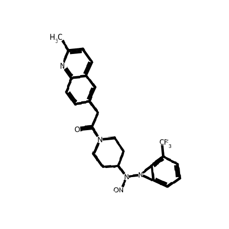 Cc1ccc2cc(CC(=O)N3CCC(N(N=O)N4c5cccc(C(F)(F)F)c54)CC3)ccc2n1